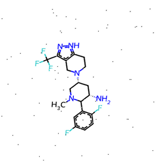 CN1C[C@H](N2CCc3[nH]nc(C(F)(F)F)c3C2)C[C@H](N)C1c1cc(F)ccc1F